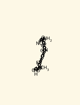 Cn1nc(N2CCC(=O)NC2=O)c2cc(F)c(N3CC4(CC(N5CCC6(CC5)CC(n5cnc7ccc(Oc8c(F)ccc(C9C(F)CCN9S(N)(=O)=O)c8C#N)cc7c5=O)C6)C4)C3)cc21